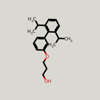 CC(C)c1cccc(C(C)C)c1-c1cccc(OCCCO)c1